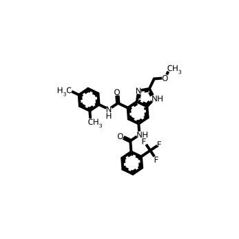 COCc1nc2c(C(=O)Nc3ccc(C)cc3C)cc(NC(=O)c3ccccc3C(F)(F)F)cc2[nH]1